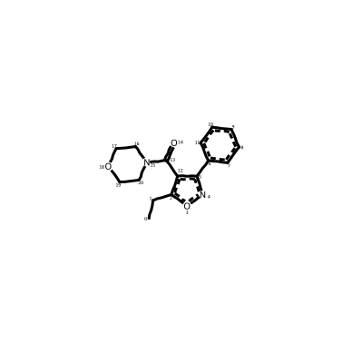 CCc1onc(-c2ccccc2)c1C(=O)N1CCOCC1